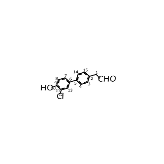 O=CCc1ccc(-c2ccc(O)c(Cl)c2)cc1